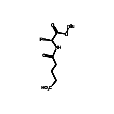 CCCCOC(=O)[C@@H](NC(=O)CCCC(=O)O)C(C)C